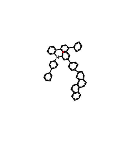 c1ccc(-c2ccc(-c3ccccc3N(c3ccc(-c4ccccc4)cc3)c3cccc(-c4ccc(-c5ccc6ccc7c8ccccc8ccc7c6c5)cc4)c3)cc2)cc1